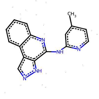 Cc1ccnc(Nc2nc3ccccc3c3cn[nH]c23)c1